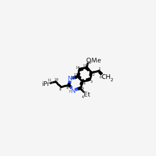 C=Cc1cc2c(CC)nc(CCC(C)C)nc2cc1OC